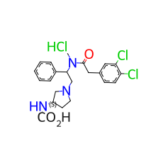 CN(C(=O)Cc1ccc(Cl)c(Cl)c1)C(CN1CC[C@H](NC(=O)O)C1)c1ccccc1.Cl